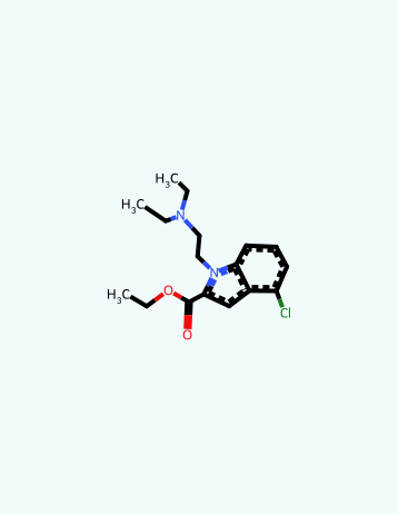 CCOC(=O)c1cc2c(Cl)cccc2n1CCN(CC)CC